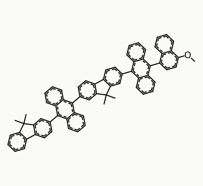 COc1ccc(-c2c3ccccc3c(-c3ccc4c(c3)C(C)(C)c3cc(-c5c6ccccc6c(-c6ccc7c(c6)C(C)(C)c6ccccc6-7)c6ccccc56)ccc3-4)c3ccccc23)c2ccccc12